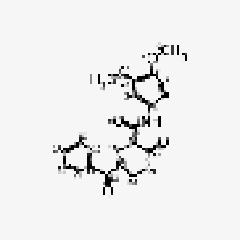 COc1ccc(NC(=O)C2CN(C(=O)c3ccccc3)CCC2=O)cc1OC